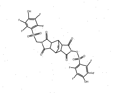 O=C1C2C3C=CC(C2C(=O)N1CS(=O)(=O)c1c(F)c(F)c(O)c(F)c1F)C1C(=O)N(OS(=O)(=O)c2c(F)c(F)c(O)c(F)c2F)C(=O)C31